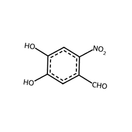 O=Cc1cc(O)c(O)cc1[N+](=O)[O-]